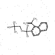 C=C(C)c1c(C(CC)(CC)OCC(O)(C(F)(F)F)C(F)(F)F)ccc2ccccc12